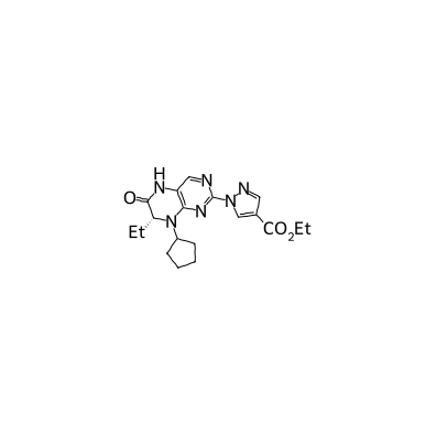 CCOC(=O)c1cnn(-c2ncc3c(n2)N(C2CCCC2)[C@H](CC)C(=O)N3)c1